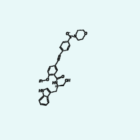 CC(C)Oc1ccc(C#Cc2ccc([S+]([O-])N3CCOCC3)cc2)cc1C(=O)N[C@@H](CO)Cc1c[nH]c2ccccc12